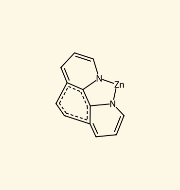 C1=C[N]2[Zn][N]3C=CC=c4ccc(c2c43)=C1